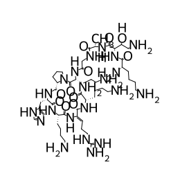 C[C@H](NC(=O)[C@@H](NC(=O)[C@@H](N)CCCCN)[C@@H](O)CN)C(=O)NCC(=O)N[C@H](CCCN)C(=O)N1CCC[C@H]1C(=O)N[C@@H](Cc1cnc[nH]1)C(=O)N[C@@H](CCCCN)C(=O)N/C(=C\CCNC(=N)N)C(=O)N[C@@H](CCCCN)C(N)=O